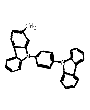 Cc1ccc2c3ccccc3n(-c3ccc(-n4c5ccccc5c5ccccc54)cc3)c2c1